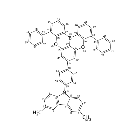 Cc1ccc2c(c1)c1cc(C)ccc1n2-c1ccc(-c2cc3c4c(c2)Oc2c(cccc2-c2ccccc2)B4c2cccc(-c4ccccc4)c2O3)cc1